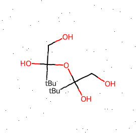 CC(C)(C)C(O)(CO)OC(O)(CO)C(C)(C)C